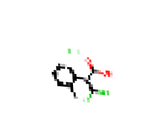 Cc1ccccc1C(C(=O)O)=C(Cl)Cl.Cl